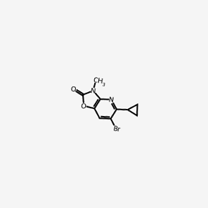 Cn1c(=O)oc2cc(Br)c(C3CC3)nc21